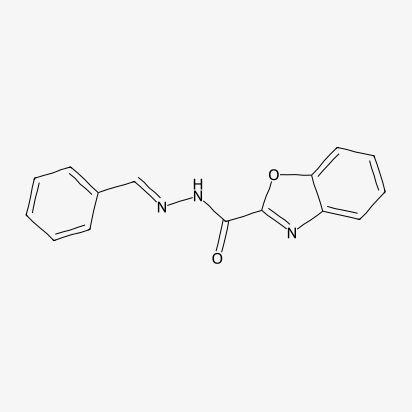 O=C(NN=Cc1ccccc1)c1nc2ccccc2o1